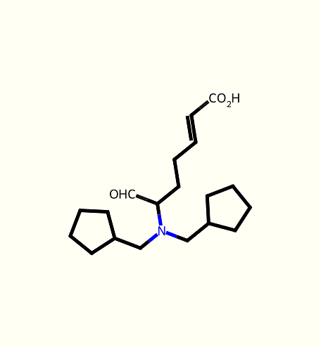 O=CC(CCC=CC(=O)O)N(CC1CCCC1)CC1CCCC1